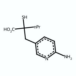 CCCC(S)(Cc1ccc(N)nc1)C(=O)O